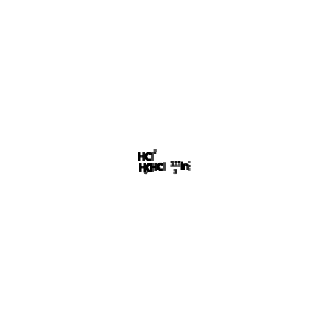 Cl.Cl.Cl.[111In]